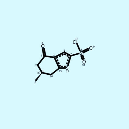 C[C@H]1CC(=O)c2cc(S(=O)(=O)Cl)sc2C1